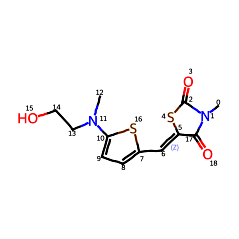 CN1C(=O)S/C(=C\c2ccc(N(C)CCO)s2)C1=O